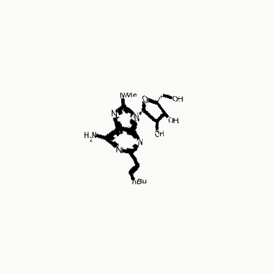 CCCCC=Cc1nc(N)c2nc(NC)n([C@@H]3O[C@H](CO)C(O)C3O)c2n1